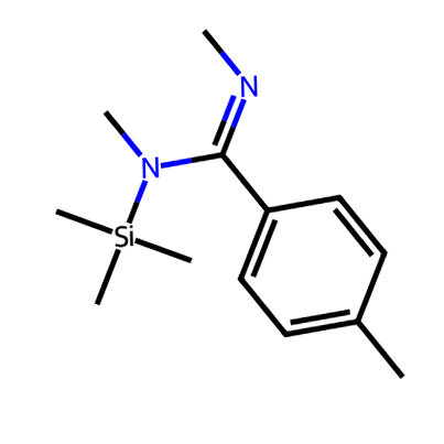 CN=C(c1ccc(C)cc1)N(C)[Si](C)(C)C